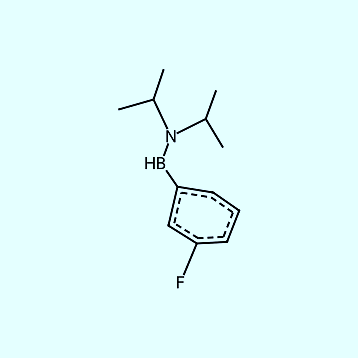 CC(C)N(Bc1cccc(F)c1)C(C)C